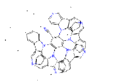 N#Cc1c(-n2c3ccccc3c3cnccc32)c(-n2c3ccccc3c3cnccc32)c(-n2c3ccccc3c3cnccc32)c(-n2c3ccccc3c3ncccc32)c1-n1c2ccccc2c2cnccc21